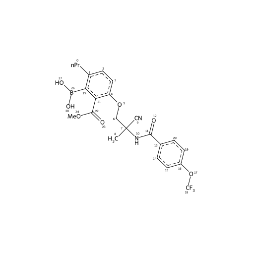 CCCc1ccc(OCC(C)(C#N)NC(=O)c2ccc(OC(F)(F)F)cc2)c(C(=O)OC)c1B(O)O